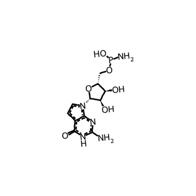 Nc1nc2c(ccn2[C@@H]2O[C@H](COP(N)O)[C@@H](O)[C@H]2O)c(=O)[nH]1